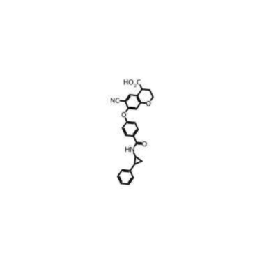 N#Cc1cc2c(cc1Oc1ccc(C(=O)NC3CC3c3ccccc3)cc1)OCCC2C(=O)O